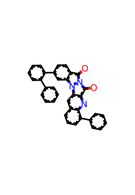 O=c1c2ccc(-c3ccccc3-c3ccccc3)cc2n2c3cc4cccc(-c5ccccc5)c4nc3c(=O)n12